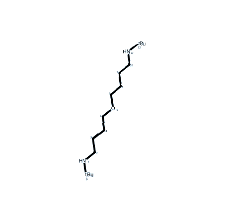 CC(C)(C)NCCCCOCCCCNC(C)(C)C